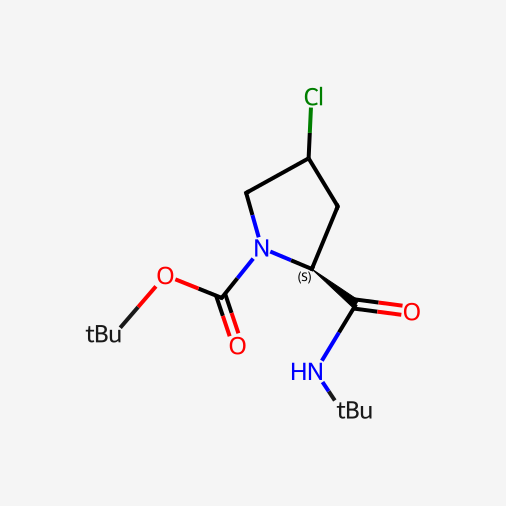 CC(C)(C)NC(=O)[C@@H]1CC(Cl)CN1C(=O)OC(C)(C)C